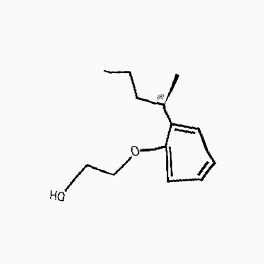 CCC[C@@H](C)c1ccccc1OCCO